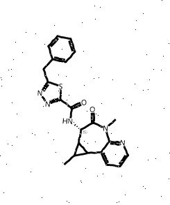 CC1C2c3cccnc3N(C)C(=O)[C@@H](NC(=O)c3nnc(Cc4ccccc4)s3)C12